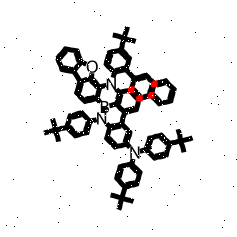 CC(C)(C)c1ccc(N2B3c4ccc5c(oc6ccccc65)c4N(c4ccc(C(C)(C)C)cc4-c4ccccc4)c4cc(-c5ccccc5)cc(c43)-c3cc(N(c4ccc(C(C)(C)C)cc4)c4ccc(C(C)(C)C)cc4)ccc32)cc1